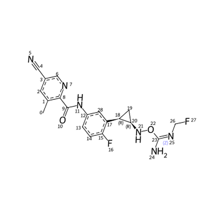 Cc1cc(C#N)cnc1C(=O)Nc1ccc(F)c([C@H]2C[C@H]2NO/C(N)=N\CF)c1